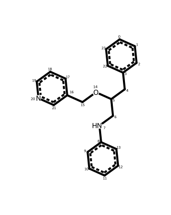 c1ccc(CC(CNc2ccccc2)OCc2cccnc2)cc1